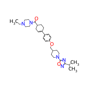 CCN1CCN(C(=O)C2CC=C(c3ccc(OCC4CCN(c5nc(C(C)C)no5)CC4)cc3)CC2)CC1